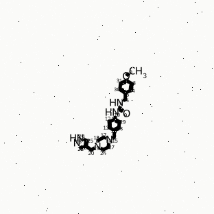 COc1ccc(CNC(=O)Nc2ccc(CN3CCN(Cc4cn[nH]c4)CC3)cc2)cc1